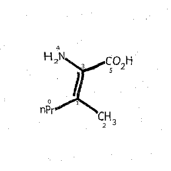 CCCC(C)=C(N)C(=O)O